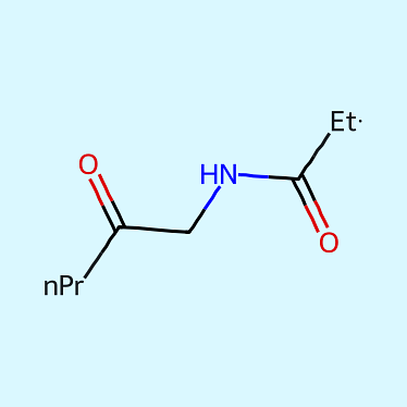 C[CH]C(=O)NCC(=O)CCC